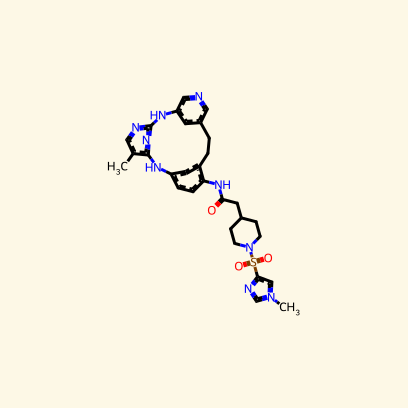 Cc1cnc2nc1Nc1ccc(NC(=O)CC3CCN(S(=O)(=O)c4cn(C)cn4)CC3)c(c1)CCc1cncc(c1)N2